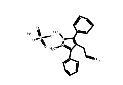 C=CCc1c(-c2ccccc2)n(C)[n+](C)c1-c1ccccc1.O=S(=O)([O-])[O-].[H+]